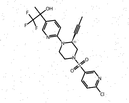 CC#C[C@H]1CN(S(=O)(=O)c2ccc(Cl)nc2)CCN1c1ccc(C(C)(O)C(F)(F)F)cn1